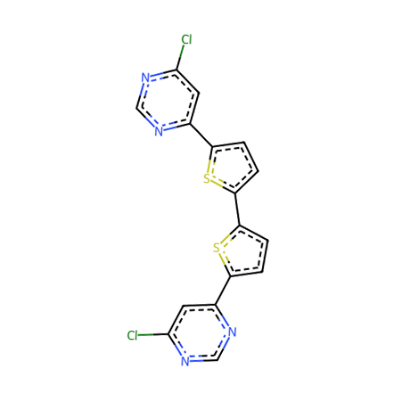 Clc1cc(-c2ccc(-c3ccc(-c4cc(Cl)ncn4)s3)s2)ncn1